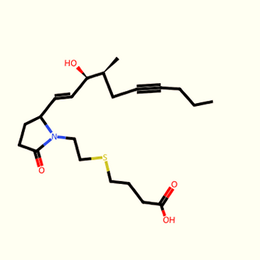 CCCC#CC[C@H](C)[C@H](O)C=CC1CCC(=O)N1CCSCCCC(=O)O